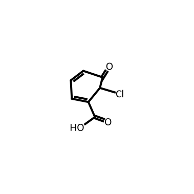 O=C(O)C1=CC=CC(=O)C1Cl